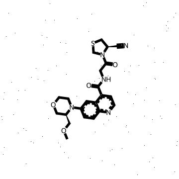 COC[C@H]1COCCN1c1ccc2nccc(C(=O)NCC(=O)N3CSC[C@H]3C#N)c2c1